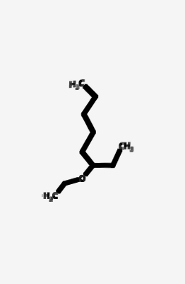 [CH2]COC(CC)CCCCC